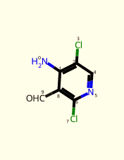 Nc1c(Cl)cnc(Cl)c1C=O